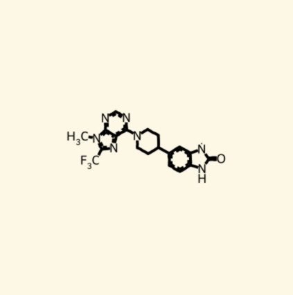 Cn1c(C(F)(F)F)nc2c(N3CCC(c4ccc5c(c4)[N]C(=O)N5)CC3)ncnc21